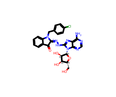 Nc1ncnc2c1nc(N/N=C1\C(=O)c3ccccc3N1Cc1ccc(Cl)cc1)n2[C@@H]1O[C@H](CO)[C@@H](O)[C@H]1O